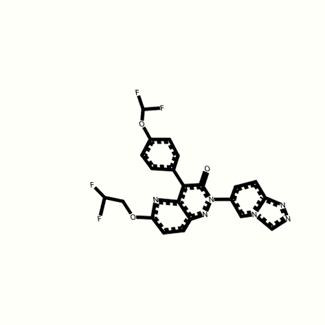 O=c1c(-c2ccc(OC(F)F)cc2)c2nc(OCC(F)F)ccc2nn1-c1ccc2nncn2c1